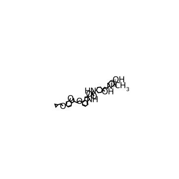 C[C@H]1CN(CCC2(O)CCC(NC(=O)Oc3cc4c(OCc5coc6cc(OCC7CC7)ccc56)cccc4[nH]3)CC2)CC[C@@H]1O